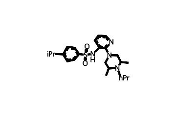 CCCN1C(C)CN(c2ncccc2NS(=O)(=O)c2ccc(C(C)C)cc2)CC1C